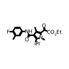 CCOC(=O)C(=O)c1c(C)c(C(=O)Nc2ccc(F)c(C)c2)c(C(C)C)n1C